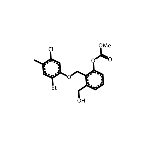 CCc1cc(C)c(Cl)cc1OCc1c(CO)cccc1OC(=O)OC